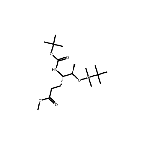 COC(=O)CC[C@H](NC(=O)OC(C)(C)C)[C@@H](C)O[Si](C)(C)C(C)(C)C